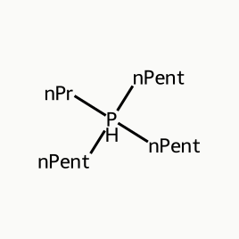 CCCCC[PH](CCC)(CCCCC)CCCCC